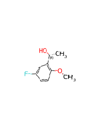 COc1ccc(F)cc1[C@@H](C)O